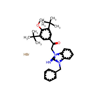 Br.COc1c(C(C)(C)C)cc(C(=O)Cn2c(=N)n(Cc3ccccc3)c3ccccc32)cc1C(C)(C)C